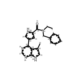 CCN(Cc1ccccc1)C(=O)c1cc(-c2ncnc3[nH]cc(C)c23)c[nH]1